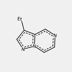 CCc1cnn2ccncc12